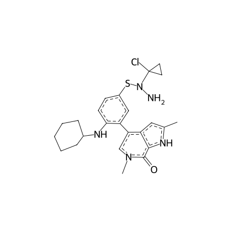 Cc1cc2c(-c3cc(SN(N)C4(Cl)CC4)ccc3NC3CCCCC3)cn(C)c(=O)c2[nH]1